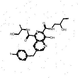 CCC(O)CNC(=O)c1nc(C(=O)NC(C)CO)c2cc(Cc3ccc(F)cc3)cnc2c1O